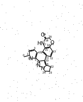 Cc1cccc(-c2nn3c(c2-c2ccc4c(c2)NC(=O)CO4)CCC3)n1